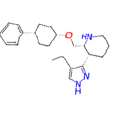 CCc1c[nH]nc1[C@H]1CCCN[C@H]1CO[C@H]1CC[C@@H](c2ccccc2)CC1